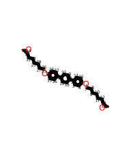 C1=C(c2ccc(OCCCCCCC3CO3)cc2)CCC(c2ccc(OCCCCCCC3CO3)cc2)C1